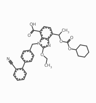 CCOc1nc2c(C(C)OC(=O)OC3CCCCC3)ccc(C(=O)O)c2n1Cc1ccc(-c2ccccc2C#N)cc1